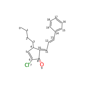 CCCCC1C=C(Cl)C(=O)C1=CC=Cc1ccccc1